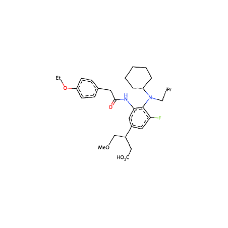 CCOc1ccc(CC(=O)Nc2cc(C(COC)CC(=O)O)cc(F)c2N(CC(C)C)C2CCCCC2)cc1